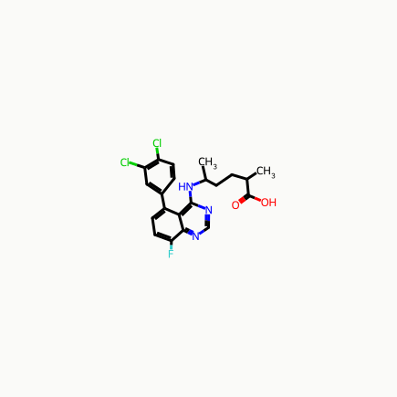 CC(CCC(C)C(=O)O)Nc1ncnc2c(F)ccc(-c3ccc(Cl)c(Cl)c3)c12